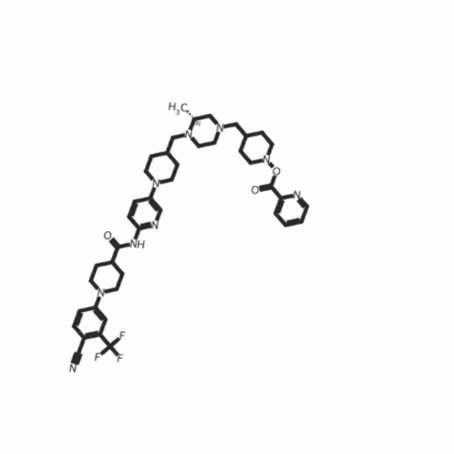 C[C@@H]1CN(CC2CCN(OC(=O)c3ccccn3)CC2)CCN1CC1CCN(c2ccc(NC(=O)C3CCN(c4ccc(C#N)c(C(F)(F)F)c4)CC3)nc2)CC1